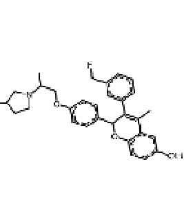 CC1=C(c2cccc(CF)c2)C(c2ccc(OCC(C)N3CCC(C)C3)cc2)Oc2ccc(O)cc21